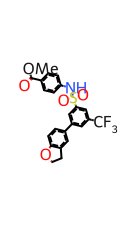 COC(=O)c1ccc(NS(=O)(=O)c2cc(-c3ccc4c(c3)CCO4)cc(C(F)(F)F)c2)cc1